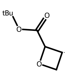 CC(C)(C)OC(=O)C1[CH]CO1